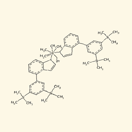 [CH2]=[Hf]([CH3])([CH3])([CH3])([CH2]C(C)C)([CH]1C=Cc2c(-c3cc([Si](C)(C)C)cc([Si](C)(C)C)c3)cccc21)[CH]1C=Cc2c(-c3cc([Si](C)(C)C)cc([Si](C)(C)C)c3)cccc21